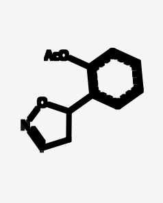 CC(=O)Oc1ccccc1C1C[C]=NO1